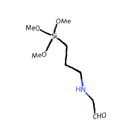 CO[Si](CCCNCC=O)(OC)OC